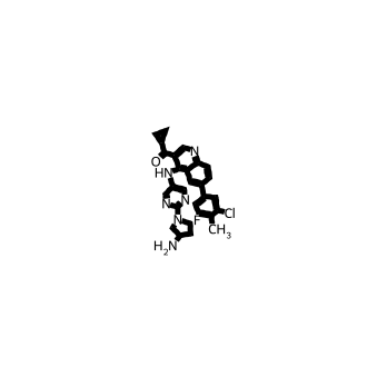 Cc1c(F)cc(-c2ccc3ncc(C(=O)C4CC4)c(Nc4cnc(N5CCC(N)C5)nc4)c3c2)cc1Cl